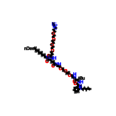 C=CCCCn1nc(C(=O)N[C@H](C(=O)NCCOCCOCCOCCNC(=O)CC[C@H](NC(=O)CCOCCOCCOCCOCCN=[N+]=[N-])C(=O)NCCCCCCCCCCCCCCCCCC)C(C)(C)C)c2ccccc21